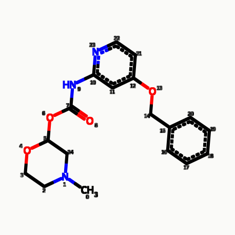 CN1CCOC(OC(=O)Nc2cc(OCc3ccccc3)ccn2)C1